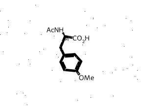 COc1ccc(C[C@@H](NC(C)=O)C(=O)O)cc1